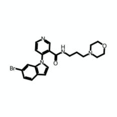 O=C(NCCCN1CCOCC1)c1cnccc1-n1ccc2ccc(Br)cc21